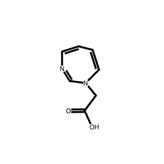 O=C(O)CN1C=CC=CN=C1